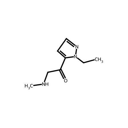 CCn1nccc1C(=O)CNC